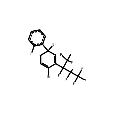 Fc1ccccc1C1(Br)[CH]C=C(Br)C(C(F)(C(F)(F)F)C(F)(F)C(F)(F)F)=C1